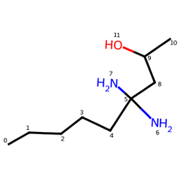 CCCCCC(N)(N)CC(C)O